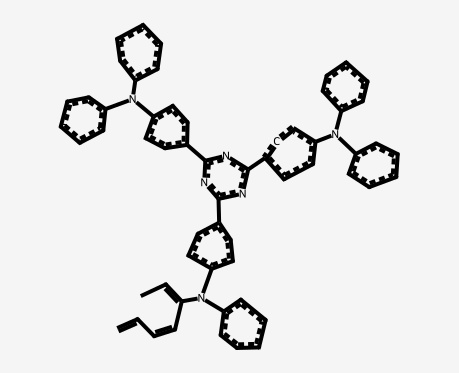 C=C/C=C\C(=C/C)N(c1ccccc1)c1ccc(-c2nc(-c3ccc(N(c4ccccc4)c4ccccc4)cc3)nc(-c3ccc(N(c4ccccc4)c4ccccc4)cc3)n2)cc1